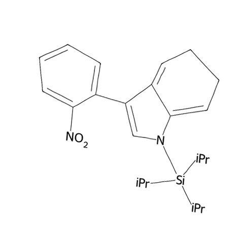 CC(C)[Si](C(C)C)(C(C)C)n1cc(-c2ccccc2[N+](=O)[O-])c2c1=CCCC=2